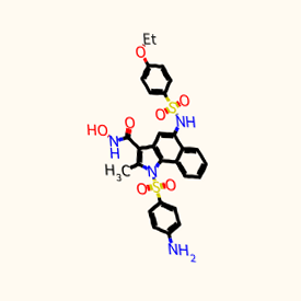 CCOc1ccc(S(=O)(=O)Nc2cc3c(C(=O)NO)c(C)n(S(=O)(=O)c4ccc(N)cc4)c3c3ccccc23)cc1